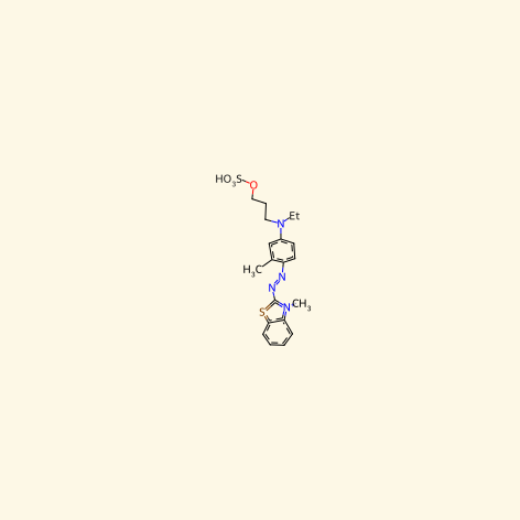 CCN(CCCOS(=O)(=O)O)c1ccc(N=Nc2sc3ccccc3[n+]2C)c(C)c1